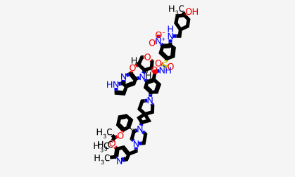 COc1cc(CN2CCN(C3CC4(CCN(c5ccc(C(=O)NS(=O)(=O)c6ccc(NCC7CCC(C)(O)CC7)c([N+](=O)[O-])c6)c(N6c7cc8cc[nH]c8nc7O[C@H]7COCC[C@@H]76)c5)CC4)C3)[C@@H](c3ccccc3OC(C)C)C2)cnc1C